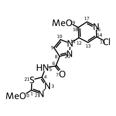 COc1nnc(NC(=O)c2ccn(-c3cc(Cl)ncc3OC)n2)s1